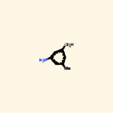 CCCCc1cc(N)cc(C(=O)O)c1